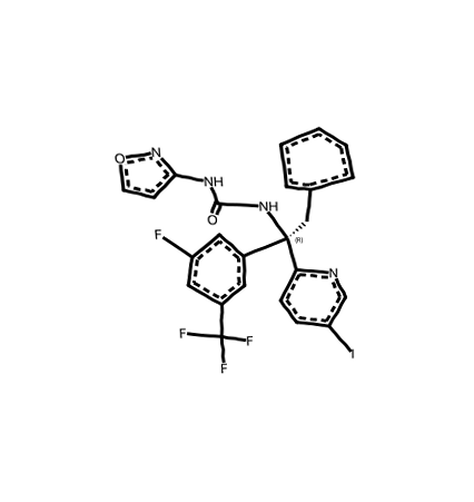 O=C(Nc1ccon1)N[C@](Cc1ccccc1)(c1cc(F)cc(C(F)(F)F)c1)c1ccc(I)cn1